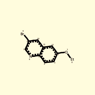 CCOc1ccc2ncc(Br)cc2c1